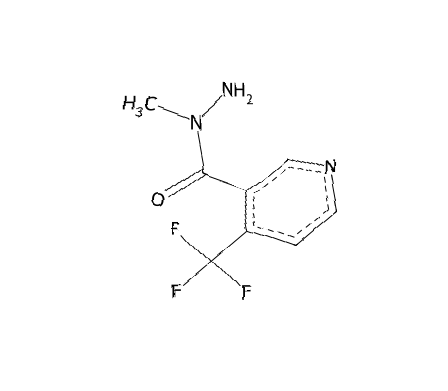 CN(N)C(=O)c1cnccc1C(F)(F)F